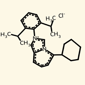 CC(C)c1cccc(C(C)C)c1-[n+]1cc2cccc(C3CCCCC3)n2c1.[Cl-]